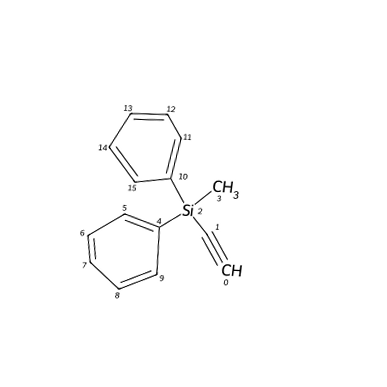 C#C[Si](C)(c1ccccc1)c1ccccc1